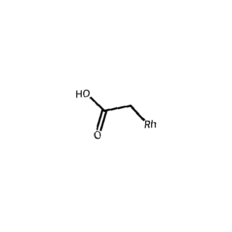 O=C(O)[CH2][Rh]